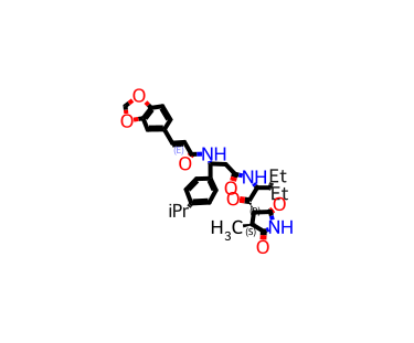 CCC(CC)C(NC(=O)CC(NC(=O)/C=C/c1ccc2c(c1)OCO2)c1ccc(C(C)C)cc1)C(=O)[C@@H]1C(=O)NC(=O)[C@H]1C